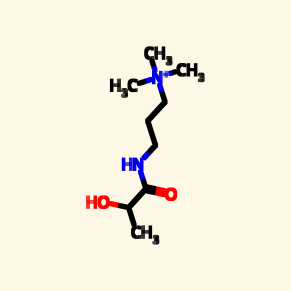 CC(O)C(=O)NCCC[N+](C)(C)C